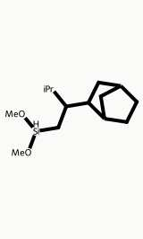 CO[SiH](CC(C(C)C)C1CC2CCC1C2)OC